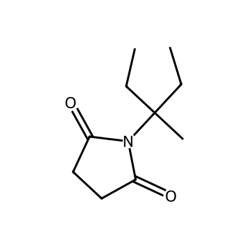 CCC(C)(CC)N1C(=O)CCC1=O